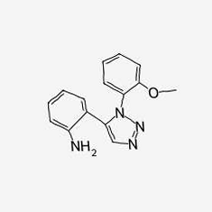 COc1ccccc1-n1nncc1-c1ccccc1N